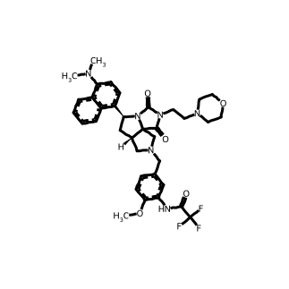 COc1ccc(CN2C[C@@H]3C[C@@H](c4ccc(N(C)C)c5ccccc45)N4C(=O)N(CCN5CCOCC5)C(=O)C34C2)cc1NC(=O)C(F)(F)F